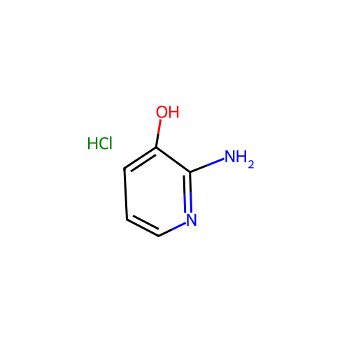 Cl.Nc1ncccc1O